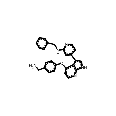 NCc1ccc(Oc2ccnc3[nH]cc(-c4ccnc(NCc5ccccc5)c4)c23)cc1